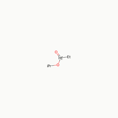 C[CH2][Hf](=[O])[O]C(C)C